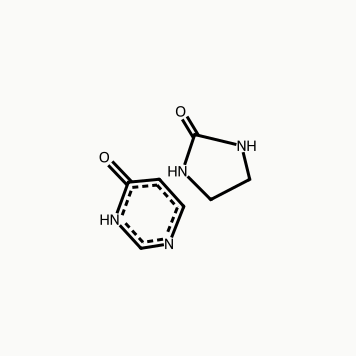 O=C1NCCN1.O=c1ccnc[nH]1